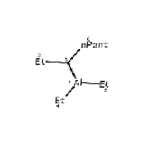 CCCCC[CH](CC)[Al]([CH2]C)[CH2]C